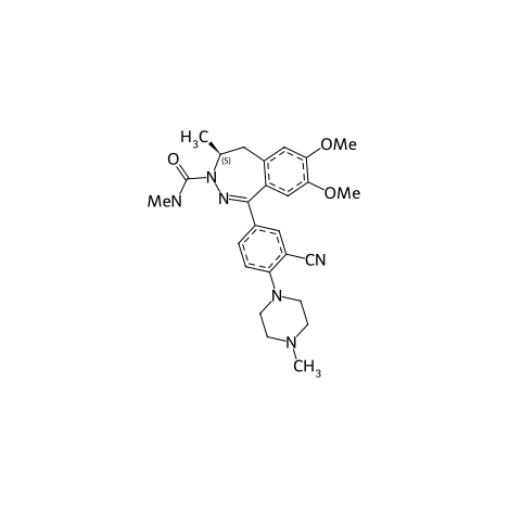 CNC(=O)N1N=C(c2ccc(N3CCN(C)CC3)c(C#N)c2)c2cc(OC)c(OC)cc2C[C@@H]1C